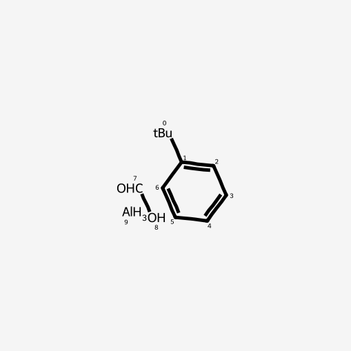 CC(C)(C)c1ccccc1.O=CO.[AlH3]